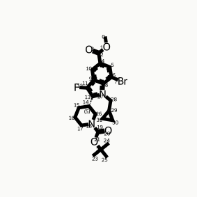 COC(=O)c1cc(Br)c2c(c1)c(F)c([C@H]1CCCN(C(=O)OC(C)(C)C)C1)n2CC1CC1